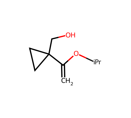 C=C(OC(C)C)C1(CO)CC1